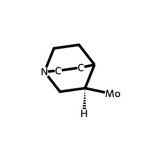 [Mo][C@H]1CN2CCC1CC2